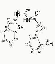 C=C(NC(=O)[C@H]1C[C@@H]1c1ccccc1O)Nc1nc2ccccc2s1